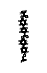 C=C(C)COc1ccc(-c2ccc(OC(=O)c3ccc(-c4ccc(OC(=O)C(=C)C)cc4)cc3)cc2)cc1